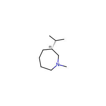 CC(C)[C@H]1CCCCN(C)C1